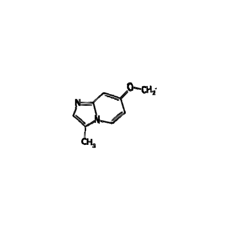 [CH2]Oc1ccn2c(C)cnc2c1